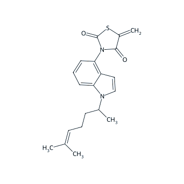 C=C1SC(=O)N(c2cccc3c2ccn3C(C)CCC=C(C)C)C1=O